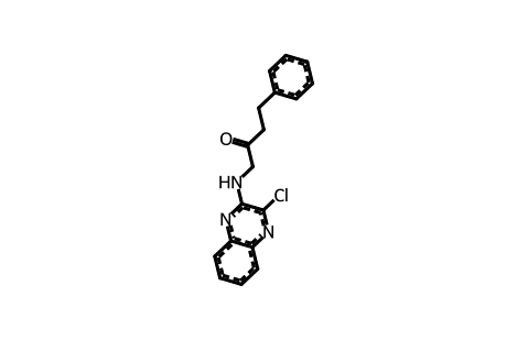 O=C(CCc1ccccc1)CNc1nc2ccccc2nc1Cl